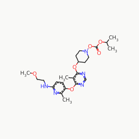 COCCNc1ccc(Oc2ncnc(OC3CCN(OC(=O)OC(C)C)CC3)c2C)c(C)n1